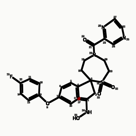 O=C(CC1(c2ccc(Oc3ccc(F)cc3)cc2)CCN(C(=O)c2cnccn2)CCS1(=O)=O)NO